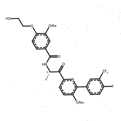 COc1cc(C(=O)N[C@@H](C)C(=O)c2ccc(OC)c(-c3ccc(F)c(C(F)(F)F)c3)n2)ccc1OCCO